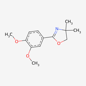 COc1ccc(C2=NC(C)(C)CO2)cc1OC